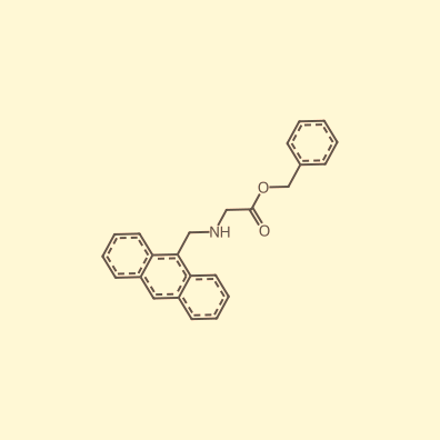 O=C(CNCc1c2ccccc2cc2ccccc12)OCc1ccccc1